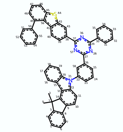 CC1(C)c2ccccc2-c2ccc3c(c21)c1ccccc1n3-c1cccc(-c2nc(-c3ccccc3)nc(-c3ccc4c(c3)sc3cccc(-c5ccccc5)c34)n2)c1